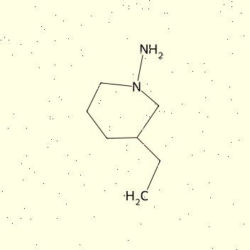 [CH2]CC1CCCN(N)C1